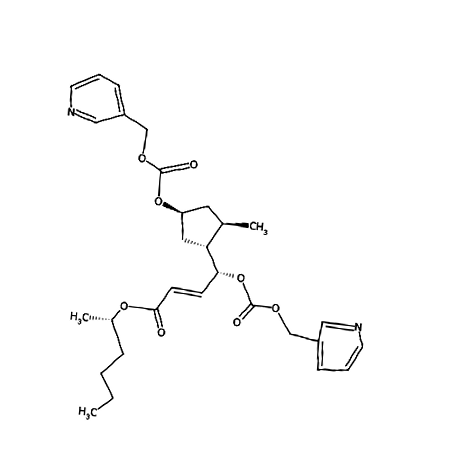 CCCC[C@H](C)OC(=O)/C=C/[C@@H](OC(=O)OCc1cccnc1)[C@@H]1C[C@@H](OC(=O)OCc2cccnc2)C[C@H]1C